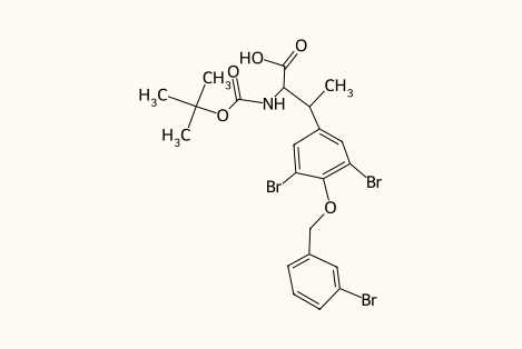 CC(c1cc(Br)c(OCc2cccc(Br)c2)c(Br)c1)C(NC(=O)OC(C)(C)C)C(=O)O